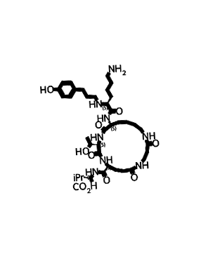 CC(C)[C@H](NC(=O)[C@@H]1CCC(=O)NCCC(=O)NCCCC[C@H](NC(=O)[C@H](CCCCN)NCCCc2ccc(O)cc2)C(=O)N[C@@H](C(C)O)C(=O)N1)C(=O)O